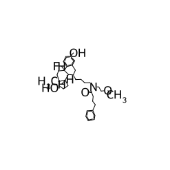 COCCN(CCCC[C@@H]1Cc2cc(O)ccc2[C@@H]2[C@@H]1[C@@H]1CC[C@H](O)[C@@]1(C)C[C@@H]2F)C(=O)CCCc1ccccc1